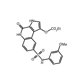 CCOC(=O)Oc1c[nH]c2c(=O)[nH]c3ccc(S(=O)(=O)Nc4cccc(OC)c4)cc3c12